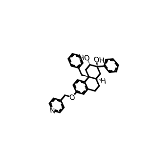 O[C@H]1C[C@@]2(Cc3ccccc3)c3ccc(OCc4ccncc4)cc3CC[C@@H]2C[C@@]1(O)c1ccccc1